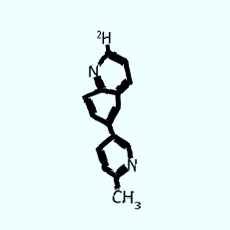 [2H]c1ccc2cc(-c3ccc(C)nc3)ccc2n1